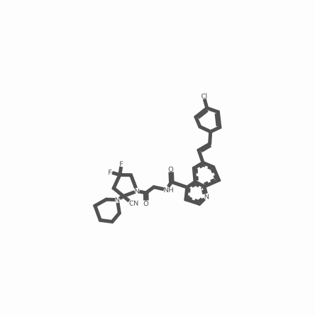 N#CC1(N2CCCCC2)CC(F)(F)CN1C(=O)CNC(=O)c1ccnc2ccc(C=CC3C=CC(Cl)=CC3)cc12